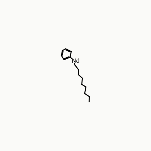 CCCCCCCC[CH2][Nd][c]1ccccc1